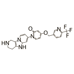 O=c1cc(OCc2ccc(C(F)(F)F)nc2)ccn1C1=CC2NC3=C(CNCC3)N2C=C1